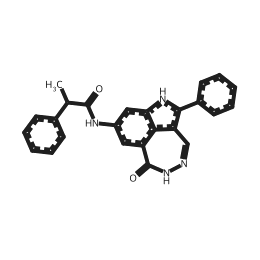 CC(C(=O)Nc1cc2c3c(c(-c4ccccc4)[nH]c3c1)C=NNC2=O)c1ccccc1